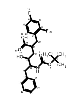 CC(C)(C)OC(=O)NC(Cc1ccccc1)C(O)CC(Cc1ccc(F)cc1F)C(=O)O